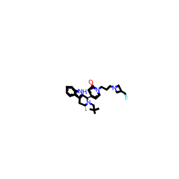 C[C@@H]1Cc2c([nH]c3ccccc23)[C@@H](c2ccn(CCCN3CC(CF)C3)c(=O)c2)N1CC(C)(C)C